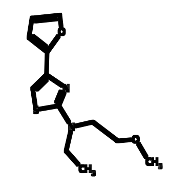 CCN(CCOC)c1nc(-c2ccco2)cs1